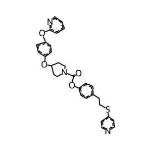 O=C(Oc1ccc(CCSc2ccncc2)cc1)N1CCC(Oc2ccc(Oc3ccccn3)cc2)CC1